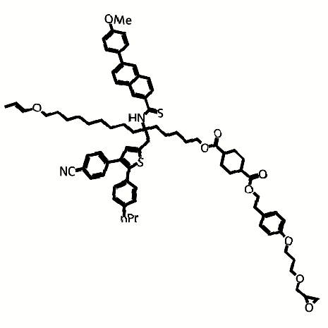 C/C=C/OCCCCCCCCCC(CCCCCOC(=O)C1CCC(C(=O)OCCc2ccc(OCCCOCC3CO3)cc2)CC1)(Cc1cc(-c2ccc(C#N)cc2)c(-c2ccc(CCC)cc2)s1)NC(=S)c1ccc2cc(-c3ccc(OC)cc3)ccc2c1